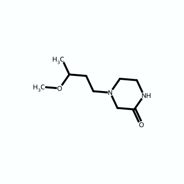 COC(C)CCN1CCNC(=O)C1